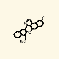 CC(C)(C)Cc1c2c(cc3ccccc13)-c1nccc3c1c(cc1ccc(Cl)cc13)O2